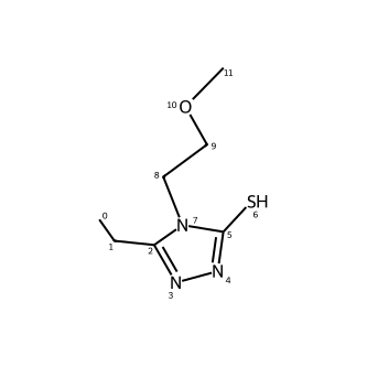 CCc1nnc(S)n1CCOC